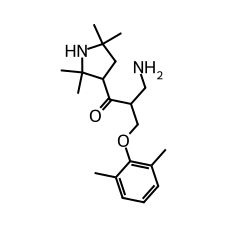 Cc1cccc(C)c1OCC(CN)C(=O)C1CC(C)(C)NC1(C)C